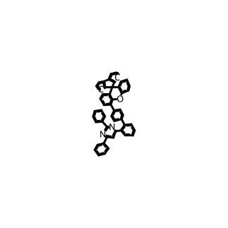 c1ccc(-c2cc(-c3ccccc3-c3ccc(-c4cccc5c4Oc4ccccc4C54c5ccccc5-c5ccccc54)cc3)nc(-c3ccccc3)n2)cc1